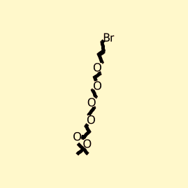 CC(C)(C)OC(=O)CCOCCOCCOCCOC/C=C/CBr